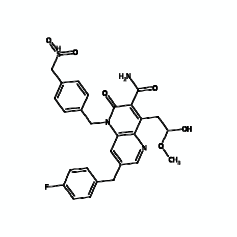 COC(O)Cc1c(C(N)=O)c(=O)n(Cc2ccc(C[SH](=O)=O)cc2)c2cc(Cc3ccc(F)cc3)cnc12